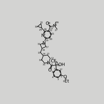 CCOc1cccc(C(O)(C(=O)N2CCC(CC3CN(c4ccc(C(=O)N(C)C)c(C5CC5)n4)C3)CC2)C(F)(F)F)c1